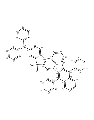 CC1(C)c2cc(N(c3ccccc3)c3ccccc3)ccc2-c2c1cc1c3c(cccc23)-c2c-1c(-c1ccccc1)c1ccccc1c2-c1ccccc1